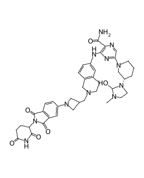 CN1CCN([C@H]2CCCN(c3cnc(C(N)=O)c(Nc4ccc5c(c4)CCN(CC4CN(c6ccc7c(c6)C(=O)N(C6CCC(=O)NC6=O)C7=O)C4)C5)n3)C2)C1O